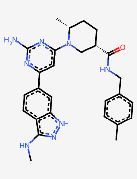 CNc1n[nH]c2cc(-c3cc(N4C[C@@H](C(=O)NCc5ccc(C)cc5)CC[C@H]4C)nc(N)n3)ccc12